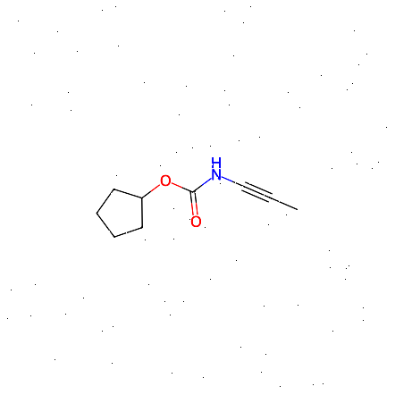 CC#CNC(=O)OC1CCCC1